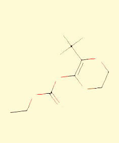 CCOC(=O)OC1=C(C(F)(F)F)OCCS1